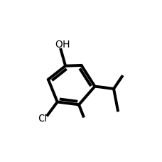 Cc1c(Cl)cc(O)cc1C(C)C